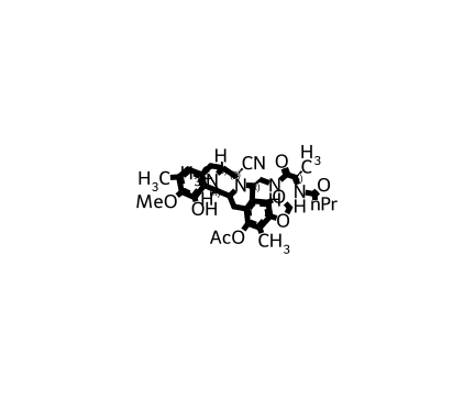 CCCC(=O)N[C@@H](C)C(=O)NC[C@H]1c2c(c(OC(C)=O)c(C)c3c2OCO3)CC2[C@H]3c4c(cc(C)c(OC)c4O)C[C@@H]([C@H](C#N)N21)N3C